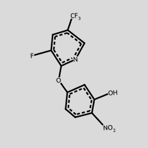 O=[N+]([O-])c1ccc(Oc2ncc(C(F)(F)F)cc2F)cc1O